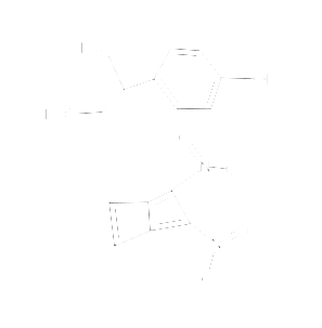 CCC(C)c1ccc(O)cc1.O=[N+]([O-])c1c2ccc-2c1[N+](=O)[O-]